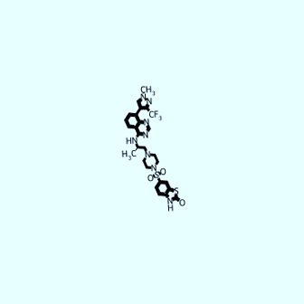 C[C@@H](CN1CCN(S(=O)(=O)c2ccc3[nH]c(=O)sc3c2)CC1)Nc1ncnc2c(-c3cn(C)nc3C(F)(F)F)cccc12